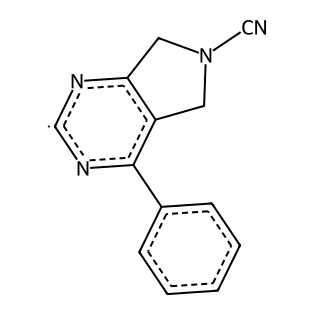 N#CN1Cc2n[c]nc(-c3ccccc3)c2C1